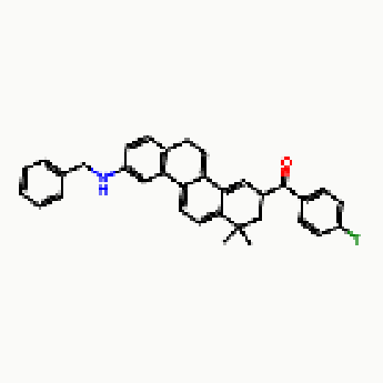 CC1(C)CC(C(=O)c2ccc(F)cc2)C=c2c1ccc1c2=CCc2ccc(NCc3ccccc3)cc2-1